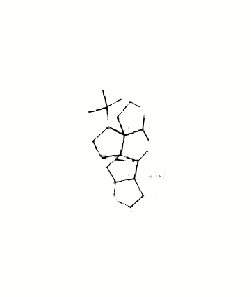 C[C@@H]1COC2CC34C5C[C@@H](C(C)(C)C)C36CCOC6OC4(CO5)[C@]21O